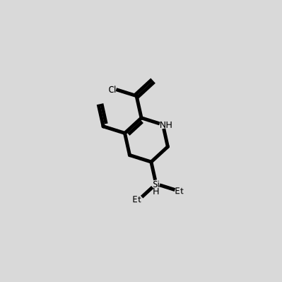 C=CC1=C(C(=C)Cl)NCC([SiH](CC)CC)C1